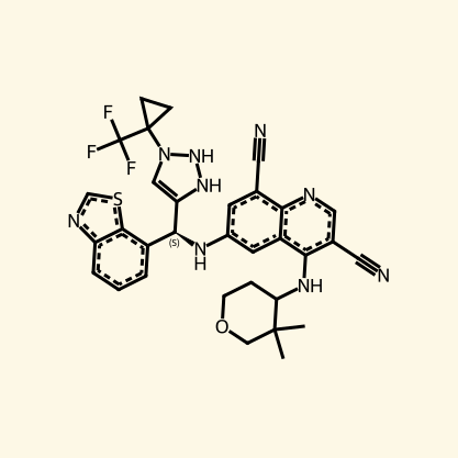 CC1(C)COCCC1Nc1c(C#N)cnc2c(C#N)cc(N[C@H](C3=CN(C4(C(F)(F)F)CC4)NN3)c3cccc4ncsc34)cc12